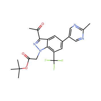 CC(=O)c1nn(CC(=O)OC(C)(C)C)c2c(C(F)(F)F)cc(-c3cnc(C)nc3)cc12